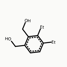 CCc1ccc(CO)c(CO)c1CC